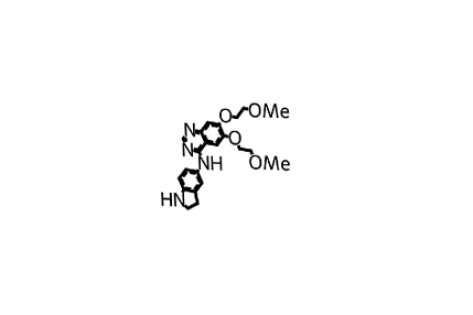 COCCOc1cc2ncnc(Nc3ccc4c(c3)CCN4)c2cc1OCCOC